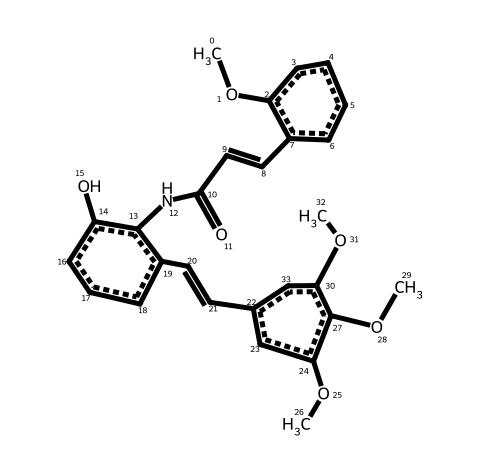 COc1ccccc1/C=C/C(=O)Nc1c(O)cccc1C=Cc1cc(OC)c(OC)c(OC)c1